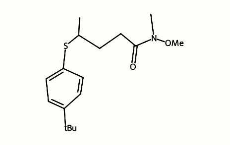 CON(C)C(=O)CCC(C)Sc1ccc(C(C)(C)C)cc1